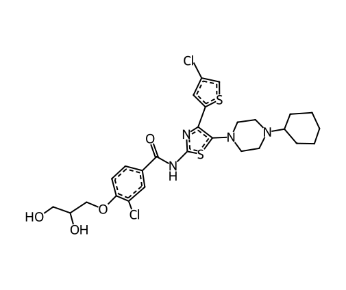 O=C(Nc1nc(-c2cc(Cl)cs2)c(N2CCN(C3CCCCC3)CC2)s1)c1ccc(OCC(O)CO)c(Cl)c1